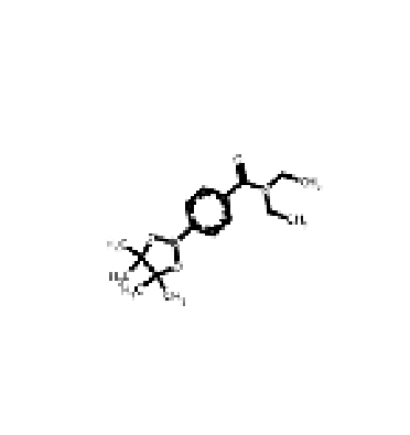 CCN(CC)C(=O)c1ccc(B2OC(C)(C)C(C)(C)O2)cc1